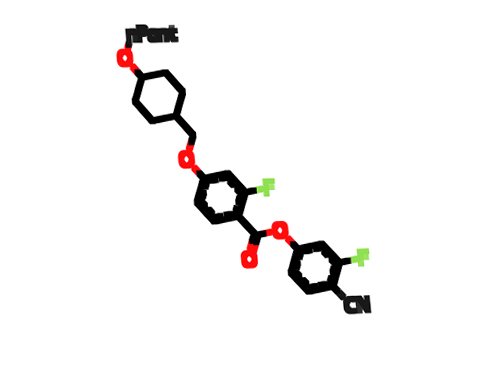 CCCCCOC1CCC(COc2ccc(C(=O)Oc3ccc(C#N)c(F)c3)c(F)c2)CC1